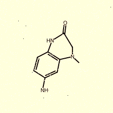 CN1CC(=O)Nc2ccc([NH])cc21